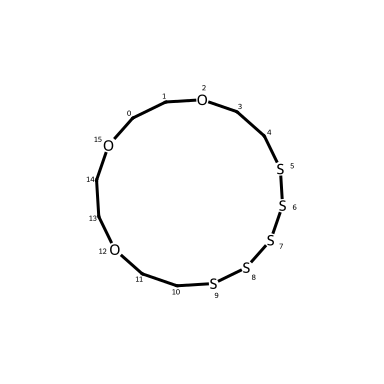 C1COCCSSSSSCCOCCO1